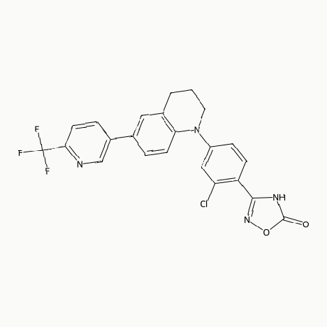 O=c1[nH]c(-c2ccc(N3CCCc4cc(-c5ccc(C(F)(F)F)nc5)ccc43)cc2Cl)no1